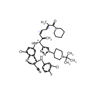 C=C(/C=C\C=C(/C)C(=O)N1CCCCC1)[C@H](Nc1cc(Cl)c2ncc(C#N)c(Nc3ccc(F)c(Cl)c3)c2c1)c1cn(C2CCN(C(C)(C)C)CC2)nn1